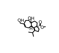 COC(=O)[C@]12CCC(C(C)C)=C1[C@H]1CC=C(CO)CC(O)[C@]1(C)CC2